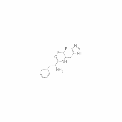 NC(Cc1ccccc1)C(=O)NC(Cc1cnc[nH]1)C(F)F